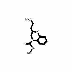 CCOC(=O)CCC1CN(C(=O)OC(C)(C)C)c2ccccc2O1